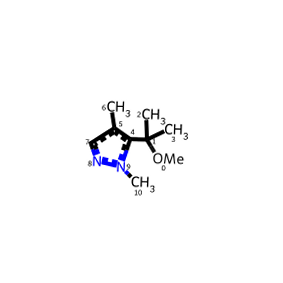 COC(C)(C)c1c(C)cnn1C